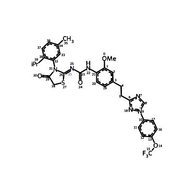 COc1cc(CCc2ncn(-c3ccc(OC(F)(F)F)cc3)n2)ccc1NC(=O)/N=C1\SCC(=O)N1c1cc(C)ccc1C(C)C